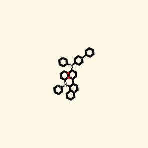 c1ccc(-c2ccc(N(c3ccccc3)c3ccc(-c4ccc5ccccc5c4N(c4ccccc4)c4ccccc4)cc3)cc2)cc1